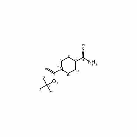 C=C(OC(C)(C)C)N1CCC(C(N)=S)CC1